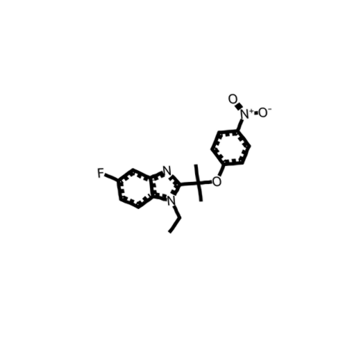 CCn1c(C(C)(C)Oc2ccc([N+](=O)[O-])cc2)nc2cc(F)ccc21